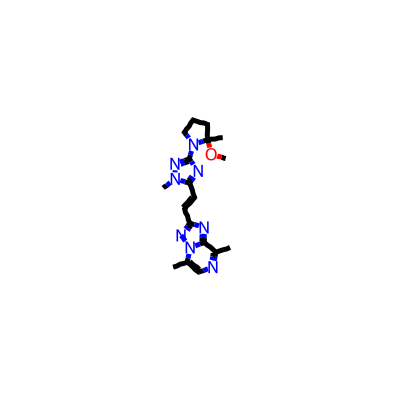 COC1(C)CCCN1c1nc(C=Cc2nc3c(C)ncc(C)n3n2)n(C)n1